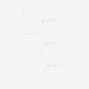 CCOC(=O)C(=O)C(Cl)c1cccc(Cl)c1